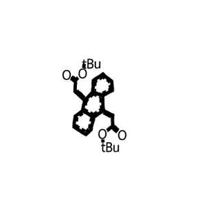 CC(C)(C)OC(=O)C=c1c2ccccc2c(=CC(=O)OC(C)(C)C)c2ccccc12